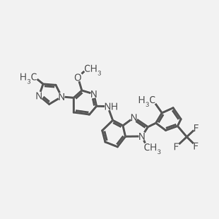 COc1nc(Nc2cccc3c2nc(-c2cc(C(F)(F)F)ccc2C)n3C)ccc1-n1cnc(C)c1